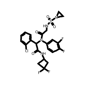 O=C(NC1CC(F)(F)C1)C(c1ccccc1Cl)N(C(=O)CNS(=O)(=O)N1CC1)c1ccc(F)c(F)c1